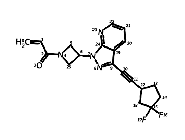 C=CC(=O)N1CC(n2nc(C#CC3CCC(F)(F)C3)c3cccnc32)C1